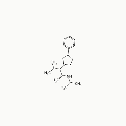 C=C(NC(C)C)C(C(C)C)N1CCC(c2ccccc2)C1